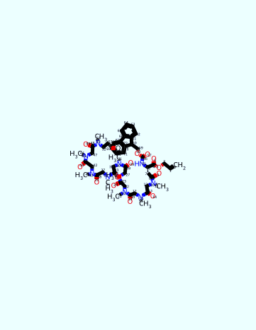 C=CCOC(=O)[C@H](CC(=O)N(C)CC(=O)N(C)CC(=O)N(C)CC(=O)N(C)CC(=O)N(C)CC(=O)N(C)CC(=O)N(C)CC(=O)N(C)CC(=O)N(C)CCC(=O)O)NC(=O)OCC1c2ccccc2-c2ccccc21